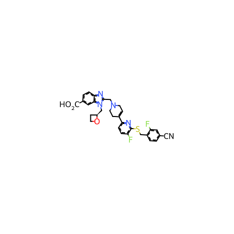 N#Cc1ccc(CSc2nc(C3=CCN(Cc4nc5ccc(C(=O)O)cc5n4C[C@@H]4CCO4)CC3)ccc2F)c(F)c1